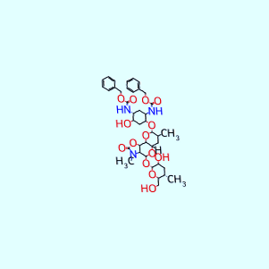 CC1C[C@@H]2OC(O[C@H]3OC(CO)[C@@H](C)CC3O)C3C(OC(=O)N3C)C2O[C@@H]1O[C@H]1CC(O)[C@H](NC(=O)OCc2ccccc2)CC1NC(=O)OCc1ccccc1